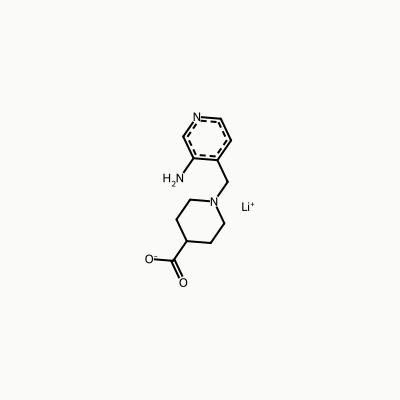 Nc1cnccc1CN1CCC(C(=O)[O-])CC1.[Li+]